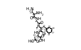 CN(C(=O)CNC(=O)[C@H](N)CN)[C@@H](Cc1ccccc1)C(=O)N[C@@H](CC(=O)O)C(=O)O